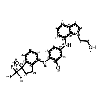 OCCn1ccc2ncnc(Nc3ccc(Oc4cccc5c4CCC5(O)C(F)(F)F)c(Cl)c3)c21